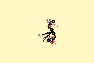 CCCCCCCCC1(CCCCCCCC)c2cc(-c3ccc(C=C4C(=O)N(C)c5ccccc5N(C)C4=O)s3)ccc2-c2ccc(-c3ccc(C=C4C(=O)N(C)c5ccccc5N(C)C4=O)s3)cc21